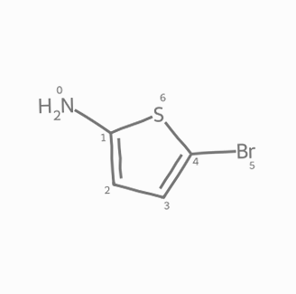 Nc1ccc(Br)s1